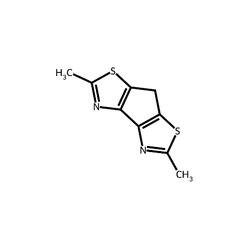 Cc1nc2c(s1)Cc1sc(C)nc1-2